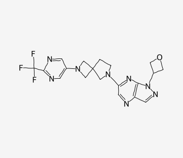 FC(F)(F)c1ncc(N2CC3(CCN(c4cnc5cnn(C6COC6)c5n4)C3)C2)cn1